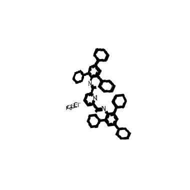 CC(=Nc1c(C2CCCCC2)cc(C2CCCCC2)cc1C1CCCCC1)c1cccc(C(C)=Nc2c(C3CCCCC3)cc(C3CCCCC3)cc2C2CCCCC2)n1.[Cl-].[Cl-].[Cl-].[Fe+3]